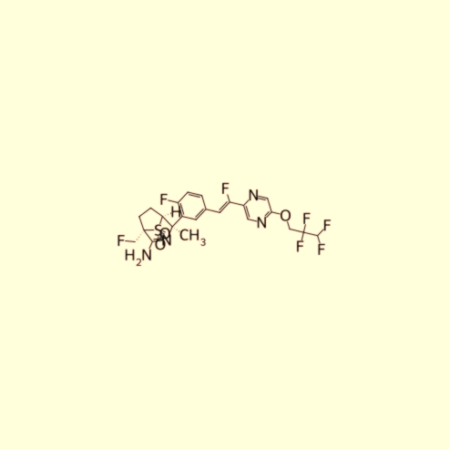 C[C@]1(c2cc(/C=C(\F)c3cnc(OCC(F)(F)C(F)F)cn3)ccc2F)N=C(N)[C@@]2(CF)CC[C@@H]1S2(=O)=O